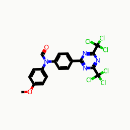 COc1ccc(N(C=O)c2ccc(-c3nc(C(Cl)(Cl)Cl)nc(C(Cl)(Cl)Cl)n3)cc2)cc1